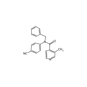 Cc1cnccc1C(=O)N(Cc1ccccc1)c1ccc(C#N)cc1